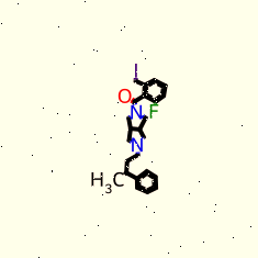 CC(CCN1CC2CN(C(=O)c3c(F)cccc3CI)CC2C1)c1ccccc1